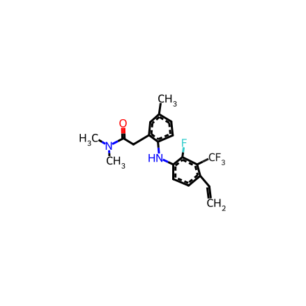 C=Cc1ccc(Nc2ccc(C)cc2CC(=O)N(C)C)c(F)c1C(F)(F)F